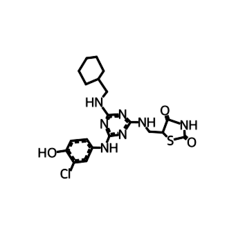 O=C1NC(=O)C(CNc2nc(NCC3CCCCC3)nc(Nc3ccc(O)c(Cl)c3)n2)S1